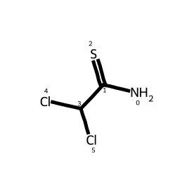 NC(=S)C(Cl)Cl